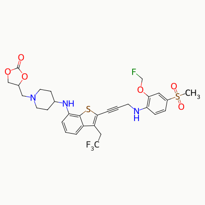 CS(=O)(=O)c1ccc(NCC#Cc2sc3c(NC4CCN(CC5COC(=O)O5)CC4)cccc3c2CC(F)(F)F)c(OCF)c1